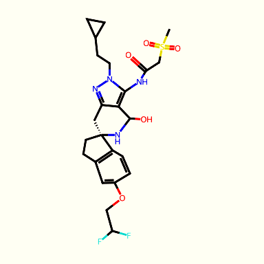 CS(=O)(=O)CC(=O)Nc1c2c(nn1CCC1CC1)C[C@]1(CCc3cc(OCC(F)F)ccc31)NC2O